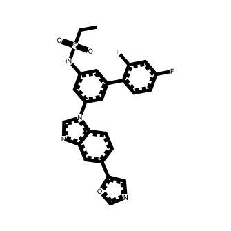 CCS(=O)(=O)Nc1cc(-c2ccc(F)cc2F)cc(-n2cnc3cc(-c4cnco4)ccc32)c1